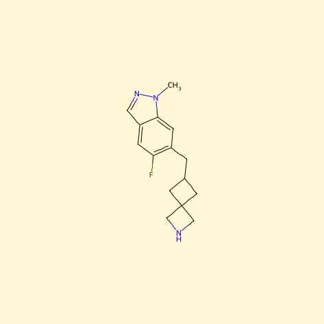 Cn1ncc2cc(F)c(CC3CC4(CNC4)C3)cc21